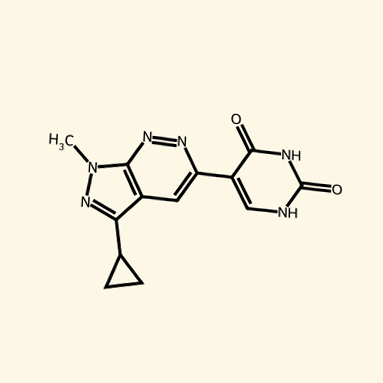 Cn1nc(C2CC2)c2cc(-c3c[nH]c(=O)[nH]c3=O)nnc21